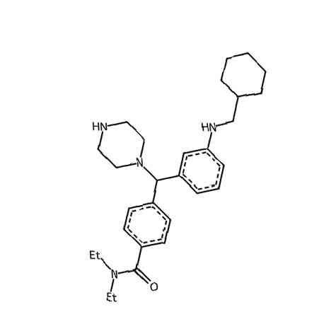 CCN(CC)C(=O)c1ccc(C(c2cccc(NCC3CCCCC3)c2)N2CCNCC2)cc1